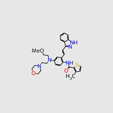 COCCN(CCN1CCOCC1)c1ccc(NC(=O)c2sccc2C)c(C=Cc2n[nH]c3ccccc23)c1